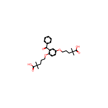 CC(C)(CCCOc1ccc(OCCCC(C)(C)C(=O)O)c(C(=O)c2ccccc2)c1)C(=O)O